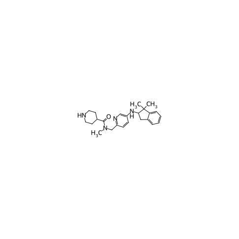 CN(Cc1ccc(NC2Cc3ccccc3C2(C)C)cn1)C(=O)C1CCNCC1